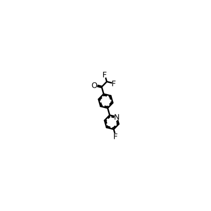 O=C(c1ccc(-c2ccc(F)cn2)cc1)C(F)F